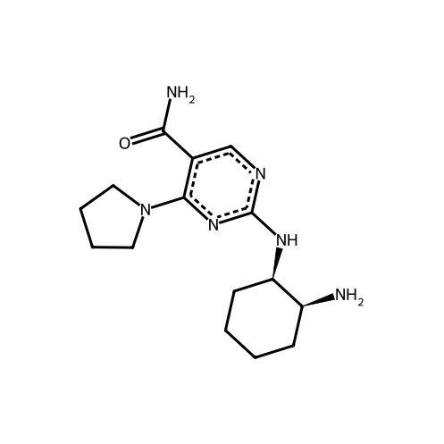 NC(=O)c1cnc(N[C@@H]2CCCC[C@@H]2N)nc1N1CCCC1